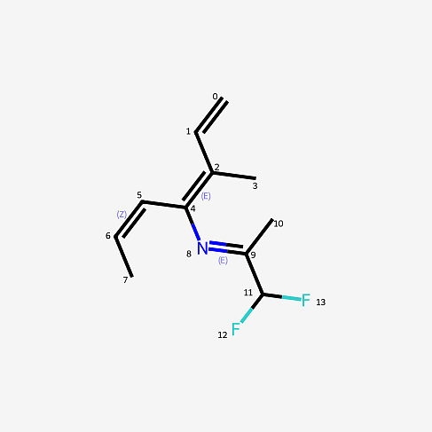 C=C/C(C)=C(\C=C/C)/N=C(\C)C(F)F